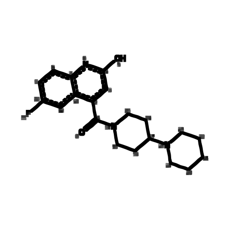 O=C(c1cc(O)nc2ccc(F)cc12)N1CCC(N2CCCCC2)CC1